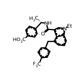 CCn1cc(C(=O)N[C@@H](C)c2ccc(C(=O)O)cc2)c2c(Cc3ccc(C(F)(F)F)cc3)cccc21